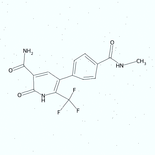 CNC(=O)c1ccc(-c2cc(C(N)=O)c(=O)[nH]c2C(F)(F)F)cc1